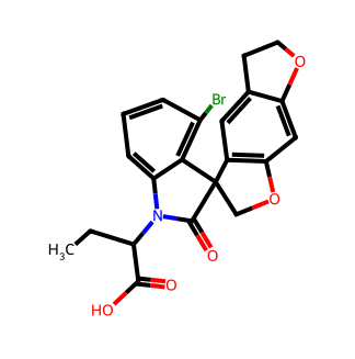 CCC(C(=O)O)N1C(=O)C2(COc3cc4c(cc32)CCO4)c2c(Br)cccc21